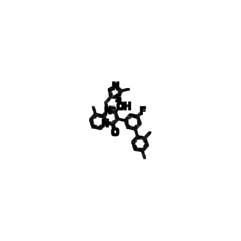 Cc1ccc(-c2cc(F)cc(-c3c(O)[n+](Cc4cnc(C)s4)c4c(C)cccn4c3=O)c2)c(C)c1